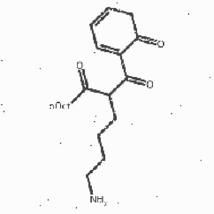 CCCCCCCCC(=O)C(CCCCN)C(=O)C1=CC=CCC1=O